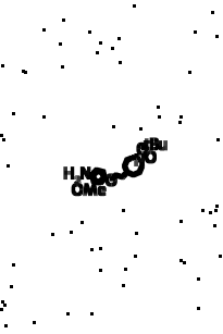 COc1cc(N)ccc1OCCC1CCCN(C(=O)OC(C)(C)C)CCC1